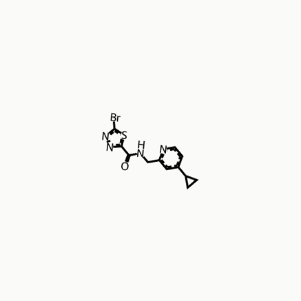 O=C(NCc1cc(C2CC2)ccn1)c1nnc(Br)s1